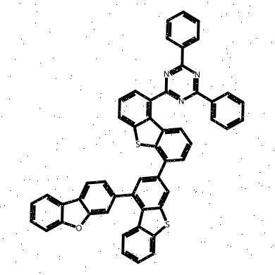 c1ccc(-c2nc(-c3ccccc3)nc(-c3cccc4sc5c(-c6cc(-c7ccc8c(c7)oc7ccccc78)c7c(c6)sc6ccccc67)cccc5c34)n2)cc1